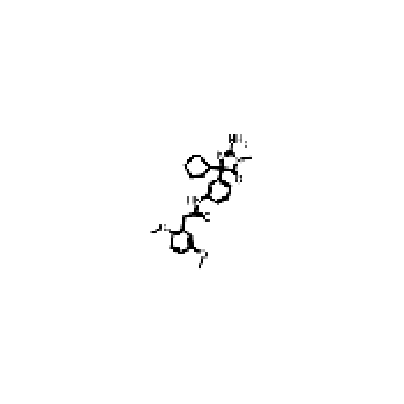 COc1ccc(OC)c(CC(=O)Nc2cccc(C3(C4CCCCC4)N=C(N)N(C)C3=O)c2)c1